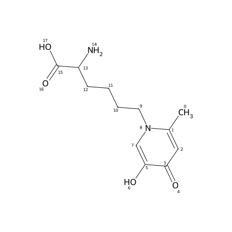 Cc1cc(=O)c(O)cn1CCCCC(N)C(=O)O